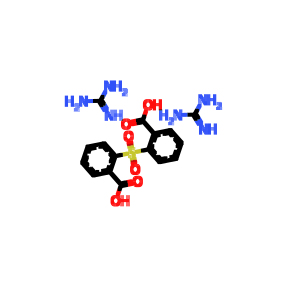 N=C(N)N.N=C(N)N.O=C(O)c1ccccc1S(=O)(=O)c1ccccc1C(=O)O